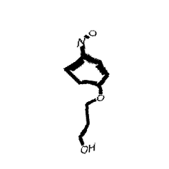 O=Nc1ccc(OCCCO)cc1